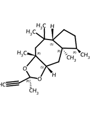 C#C[C@]1(C)O[C@H]2C[C@]3(C)[C@H](C)CC[C@H]3C(C)(C)C[C@@]2(C)O1